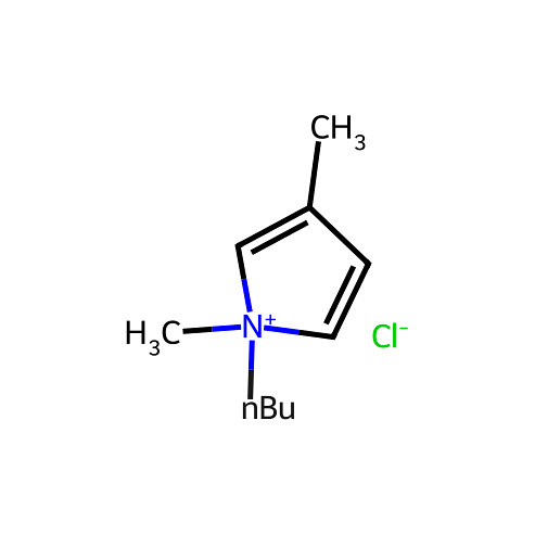 CCCC[N+]1(C)C=CC(C)=C1.[Cl-]